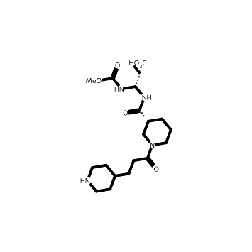 COC(=O)N[C@H](CC(=O)O)NC(=O)[C@@H]1CCCN(C(=O)CCC2CCNCC2)C1